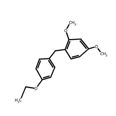 CCOc1ccc(Cc2ccc(OC)cc2OC)cc1